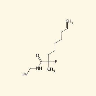 C=CCCCCCC(C)(F)C(=O)NCC(C)C